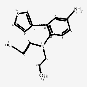 Nc1ccc(N(CCO)CCO)c(-c2ccsc2)c1